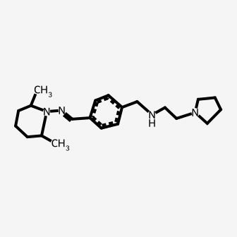 CC1CCCC(C)N1N=Cc1ccc(CNCCN2CCCC2)cc1